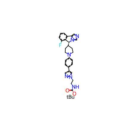 CC(C)(C)OC(=O)NCCn1cc(-c2ccc(N3CCC([C@H]4c5c(F)cccc5-c5cncn54)CC3)cc2)cn1